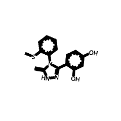 C=C1NN=C(c2ccc(O)cc2O)N1c1ccccc1SC